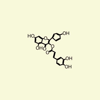 O=C(C=Cc1ccc(O)c(O)c1)Oc1c(-c2ccc(O)cc2)oc2cc(O)cc(O)c2c1=O